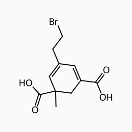 CC1(C(=O)O)C=C(CCBr)C=C(C(=O)O)C1